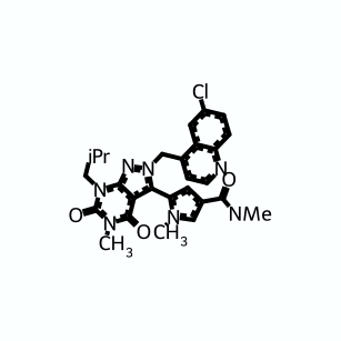 CNC(=O)c1cc(-c2c3c(=O)n(C)c(=O)n(CC(C)C)c3nn2Cc2ccnc3ccc(Cl)cc23)n(C)c1